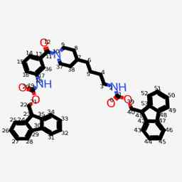 O=C(NCCCCC1CCN(C(=O)c2cccc(NC(=O)OCC3c4ccccc4-c4ccccc43)c2)CC1)OCC1c2ccccc2-c2ccccc21